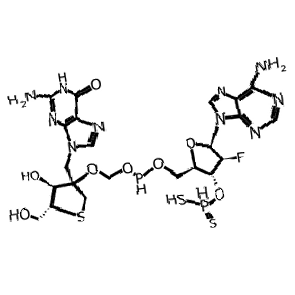 Nc1nc2c(ncn2C[C@@]2(OCOPOC[C@H]3O[C@@H](n4cnc5c(N)ncnc54)[C@@H](F)[C@@H]3O[PH](=S)S)CS[C@H](CO)[C@H]2O)c(=O)[nH]1